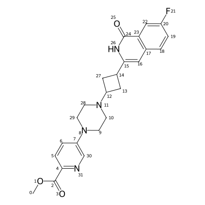 COC(=O)c1ccc(N2CCN(C3CC(c4cc5ccc(F)cc5c(=O)[nH]4)C3)CC2)cn1